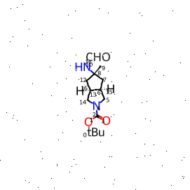 CC(C)(C)OC(=O)N1C[C@@H]2C[C@@](C)(NC=O)C[C@@H]2C1